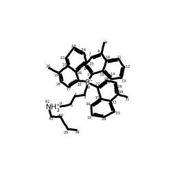 CCCC[B-](c1ccc(C)c2ccccc12)(c1ccc(C)c2ccccc12)c1ccc(C)c2ccccc12.CCCC[NH3+]